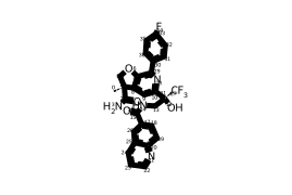 C[C@]1(C(N)=O)COc2c1cc([C@@](O)(CNC(=O)c1ccc3ncccc3c1)C(F)(F)F)nc2-c1ccc(F)cc1